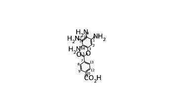 Nc1cc(OC(=O)c2ccc(C(=O)O)cc2)c(N)c(N)c1N